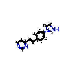 C(=C\c1ccncn1)/c1ccc(N2CCNC2)cc1